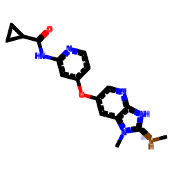 C/[SH]=c1\[nH]c2ncc(Oc3ccnc(NC(=O)C4CC4)c3)cc2n1C